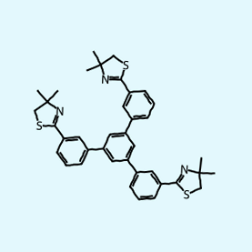 CC1(C)CSC(c2cccc(-c3cc(-c4cccc(C5=NC(C)(C)CS5)c4)cc(-c4cccc(C5=NC(C)(C)CS5)c4)c3)c2)=N1